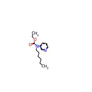 CCCCCCNC(=O)OCC.c1ccncc1